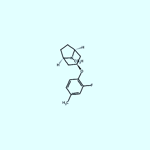 Cc1ccc(O[C@H]2C[C@H]3CC[C@@H](C2)N3C(=O)O)c(F)c1